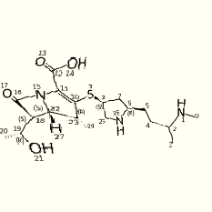 CNC(C)CC[C@@H]1C[C@H](SC2=C(C(=O)O)N3C(=O)[C@H]([C@@H](C)O)[C@H]3[C@H]2C)CN1